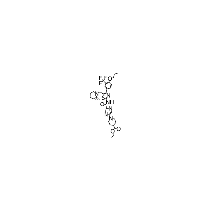 CCCOc1ccc(-c2nc(NC(=O)c3cnc(N4CCC(C(=O)OCC)CC4)cn3)sc2CN2CCCC[C@H]2C)cc1C(F)(F)F